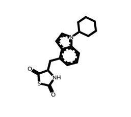 O=C1NC(Cc2cccc3c2ccn3C2CCCCC2)C(=O)S1